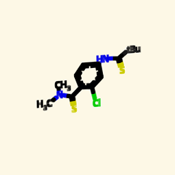 CN(C)C(=S)c1ccc(NC(=S)C(C)(C)C)cc1Cl